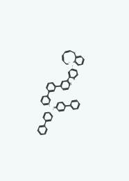 C=C1/C=C\C=C/CN(c2ccc3oc4ccc(-c5cccc(-c6cccc(N(c7ccc(-c8ccccc8)cc7)c7ccc(-c8ccccc8)cc7)c6)c5)cc4c3c2)c2ccccc21